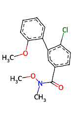 COc1ccccc1-c1cc(C(=O)N(C)OC)ccc1Cl